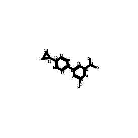 CC(C)c1cc(F)cc(-c2ccc(C3CC3)cc2)c1